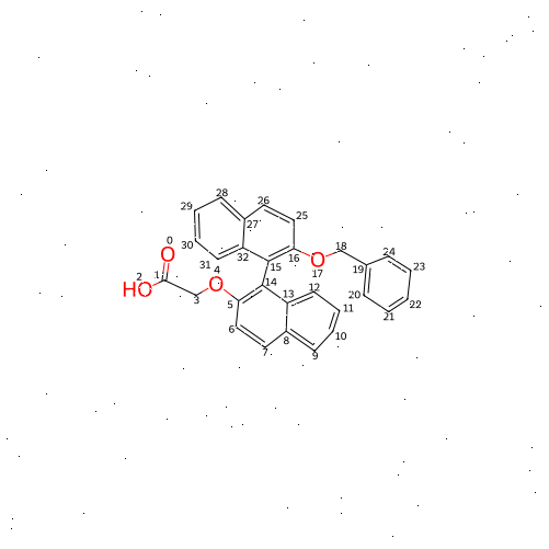 O=C(O)COc1ccc2ccccc2c1-c1c(OCc2ccccc2)ccc2ccccc12